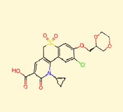 O=C(O)c1cc2c(n(C3CC3)c1=O)-c1cc(Cl)c(OC[C@@H]3COCCO3)cc1S(=O)(=O)C2